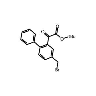 CC(C)(C)OC(=O)C(=O)c1cc(CBr)ccc1-c1ccccc1